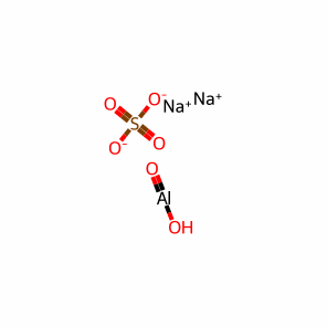 O=S(=O)([O-])[O-].[Na+].[Na+].[O]=[Al][OH]